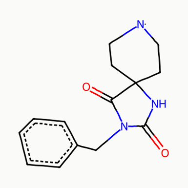 O=C1NC2(CC[N]CC2)C(=O)N1Cc1ccccc1